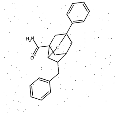 NC(=O)C12CC3CC(c4ccccc4)(CC1C3Cc1ccccc1)C2